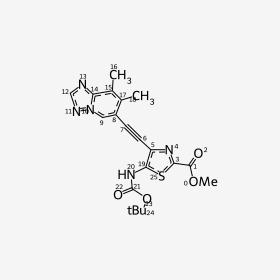 COC(=O)c1nc(C#Cc2cn3ncnc3c(C)c2C)c(NC(=O)OC(C)(C)C)s1